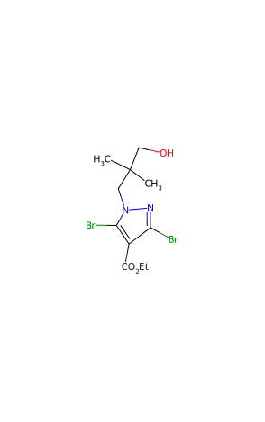 CCOC(=O)c1c(Br)nn(CC(C)(C)CO)c1Br